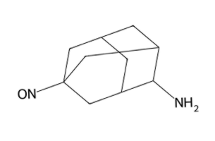 NC1C2CC3CC1CC(N=O)(C3)C2